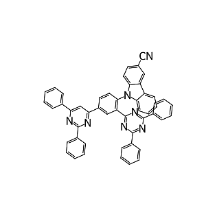 N#Cc1ccc2c(c1)c1ccccc1n2-c1ccc(-c2cc(-c3ccccc3)nc(-c3ccccc3)n2)cc1-c1nc(-c2ccccc2)nc(-c2ccccc2)n1